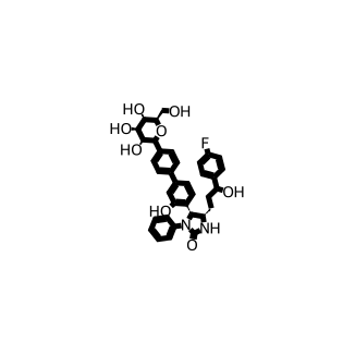 O=C1N[C@@H](CCC(O)c2ccc(F)cc2)[C@@H](c2ccc(-c3ccc(C4O[C@H](CO)[C@@H](O)[C@H](O)[C@H]4O)cc3)cc2O)N1c1ccccc1